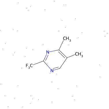 Cc1cnc(C(F)(F)F)nc1C